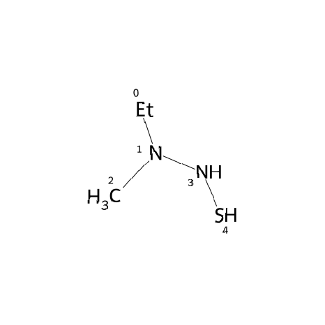 CCN(C)NS